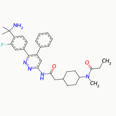 CCC(=O)N(C)C1CCC(CC(=O)Nc2cc(-c3ccccc3)c(-c3ccc(C4(N)CC4)c(F)c3)nn2)CC1